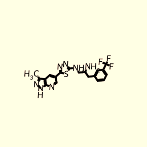 Cc1n[nH]c2ncc(-c3nnc(NC[C@@H](N)Cc4cccc(C(F)(F)F)c4)s3)cc12